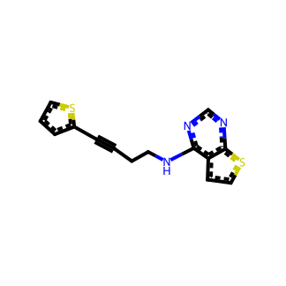 C(#Cc1cccs1)CCNc1ncnc2sccc12